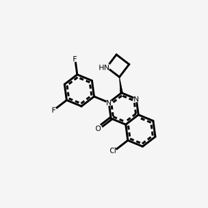 O=c1c2c(Cl)cccc2nc([C@@H]2CCN2)n1-c1cc(F)cc(F)c1